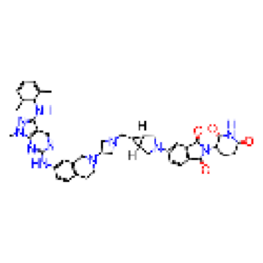 Cc1cccc(C)c1Nc1nn(C)c2nc(Nc3ccc4c(c3)CN(C3CN(C[C@H]5[C@H]6CN(c7ccc8c(c7)C(=O)N(C7CCC(=O)NC7=O)C8=O)C[C@@H]56)C3)CC4)ncc12